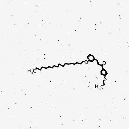 CCCCCCCCCCCCCCCCCCOc1cccc(C=CC(=O)c2ccc(SCCC)cc2)c1